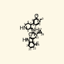 Cn1ccc(C2CCNCC2NC(=O)N(Cc2c[nH]c3cccc(F)c23)C2CC2)cc1=O